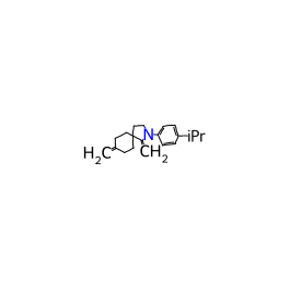 C=C1CCC2(CC1)CCN(c1ccc(C(C)C)cc1)C2=C